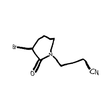 N#CCCN1CCC(Br)C1=O